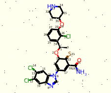 C[C@@H](OC1C=C(n2cnc3cc(Cl)c(Cl)cc32)C=C(C(N)=O)C1=S)c1cccc(OC2CCNCC2)c1Cl